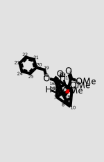 COC(=O)[C@@H]1C2C3C4C(C5C2C5C(OC)(OC)C34)[C@@H]1C(=O)OCc1ccccc1